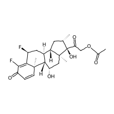 CC(=O)OCC(=O)[C@@]1(O)[C@@H](C)C[C@H]2[C@@H]3C[C@H](F)C4=C(F)C(=O)C=C[C@]4(C)[C@H]3[C@@H](O)C[C@@]21C